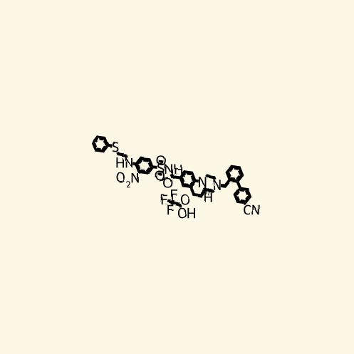 N#Cc1ccc(-c2ccccc2CN2CCN3c4ccc(C(=O)NS(=O)(=O)c5ccc(NCCSc6ccccc6)c([N+](=O)[O-])c5)cc4CC[C@H]3C2)cc1.O=C(O)C(F)(F)F